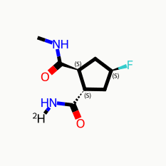 [2H]NC(=O)[C@H]1C[C@H](F)C[C@@H]1C(=O)NC